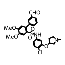 COc1cc(-c2cccc(C=O)c2)c(S(=O)(=O)Nc2ccc(Cl)c(OC3CCN(C)C3)c2)cc1OC